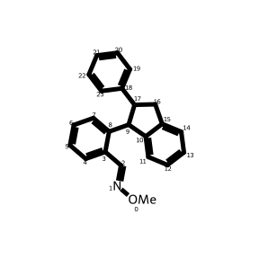 CON=Cc1ccccc1C1c2ccccc2CC1c1ccccc1